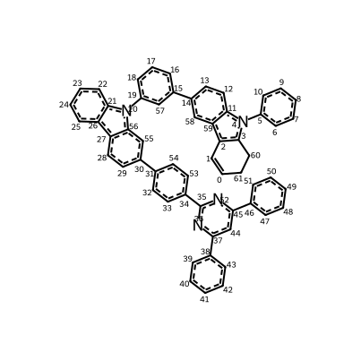 C1=Cc2c(n(-c3ccccc3)c3ccc(-c4cccc(-n5c6ccccc6c6ccc(-c7ccc(-c8nc(-c9ccccc9)cc(-c9ccccc9)n8)cc7)cc65)c4)cc23)CC1